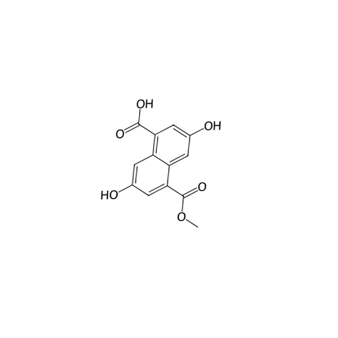 COC(=O)c1cc(O)cc2c(C(=O)O)cc(O)cc12